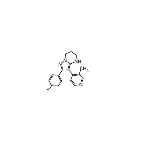 Cc1cnccc1-c1c(-c2ccc(F)cc2)nn2c1NCCC2